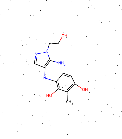 Cc1c(O)ccc(Nc2cnn(CCO)c2N)c1O